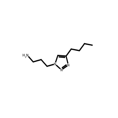 CCCCc1cn(CCCN)nn1